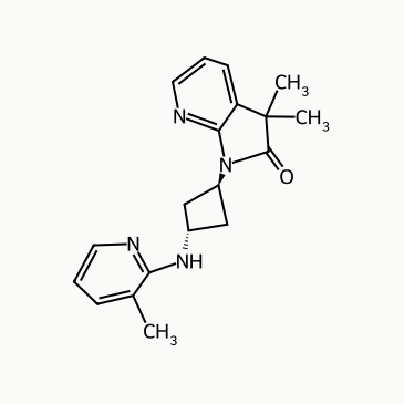 Cc1cccnc1N[C@H]1C[C@H](N2C(=O)C(C)(C)c3cccnc32)C1